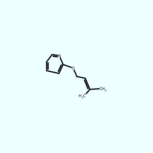 CC(C)=CCOc1ccccn1